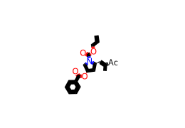 C=CCOC(=O)N1C[C@@H](OC(=O)c2ccccc2)C[C@H]1/C=C(\C)C(C)=O